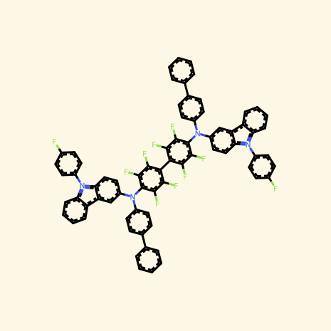 Fc1ccc(-n2c3ccccc3c3cc(N(c4ccc(-c5ccccc5)cc4)c4c(F)c(F)c(-c5c(F)c(F)c(N(c6ccc(-c7ccccc7)cc6)c6ccc7c(c6)c6ccccc6n7-c6ccc(F)cc6)c(F)c5F)c(F)c4F)ccc32)cc1